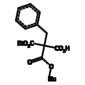 CCOC(=O)C(Cc1ccccc1)(C(=O)O)C(=O)OC(C)CC